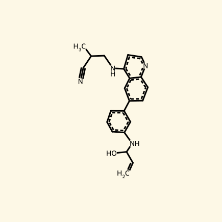 C=CC(O)Nc1cccc(-c2ccc3nccc(NCC(C)C#N)c3c2)c1